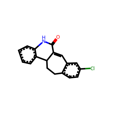 O=C1Nc2ccccc2C2CCc3ccc(Cl)cc3C=C12